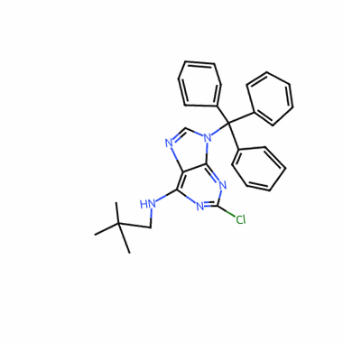 CC(C)(C)CNc1nc(Cl)nc2c1ncn2C(c1ccccc1)(c1ccccc1)c1ccccc1